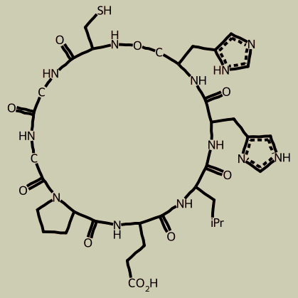 CC(C)CC1NC(=O)C(CCC(=O)O)NC(=O)C2CCCN2C(=O)CNC(=O)CNC(=O)C(CS)NOCC(Cc2cnc[nH]2)NC(=O)C(Cc2c[nH]cn2)NC1=O